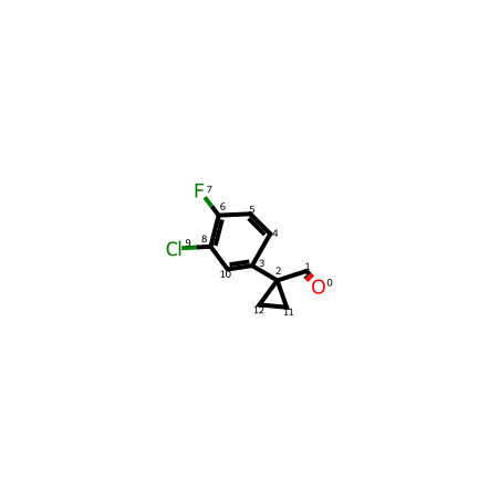 O=CC1(c2ccc(F)c(Cl)c2)CC1